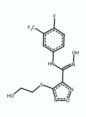 OCCSc1nonc1/C(=N/O)Nc1ccc(F)c(C(F)(F)F)c1